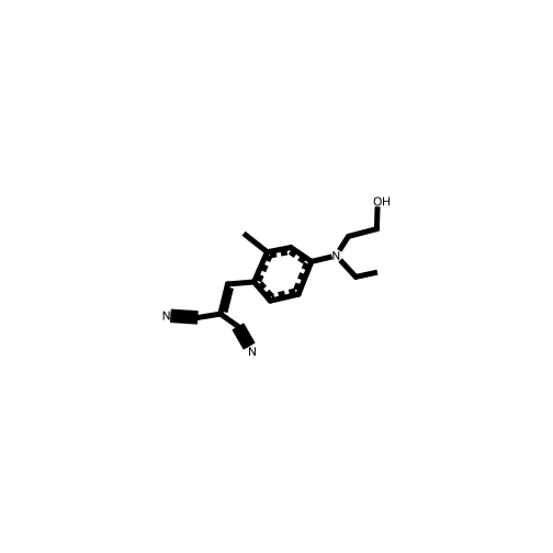 CCN(CCO)c1ccc(C=C(C#N)C#N)c(C)c1